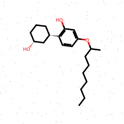 CCCCCCCC(C)Oc1ccc([C@H]2CCC[C@@H](O)C2)c(O)c1